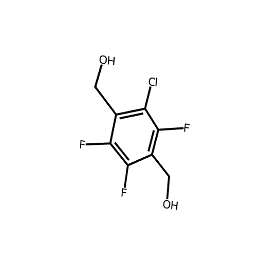 OCc1c(F)c(F)c(CO)c(Cl)c1F